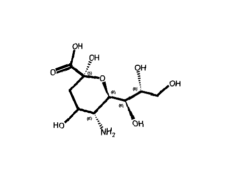 N[C@@H]1C(O)C[C@@](O)(C(=O)O)O[C@H]1[C@H](O)[C@H](O)CO